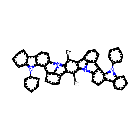 CCc1c2c3cccc4c5c6c(ccc5n(c2c(CC)c2c5cccc7c8c9c(ccc8n(c12)c57)c1ccccc1n9-c1ccccc1)c34)c1ccccc1n6-c1ccccc1